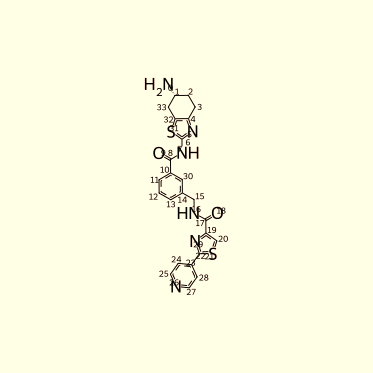 N[C@@H]1CCc2nc(NC(=O)c3cccc(CNC(=O)c4csc(-c5ccncc5)n4)c3)sc2C1